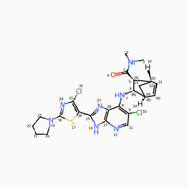 CN(C)C(=O)[C@@H]1[C@H](Nc2c(Cl)cnc3[nH]c(-c4sc(N5CCCC5)nc4Cl)nc23)[C@H]2C=C[C@@H]1C2